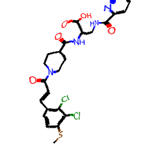 CSc1ccc(C=CC(=O)N2CCC(C(=O)NC(CNC(=O)c3ccccn3)C(=O)O)CC2)c(Cl)c1Cl